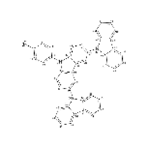 Brc1ccc(-n2c3ccc(-n4c5ccccc5c5ccccc54)cc3c3cc(-n4c5ccccc5c5ccccc54)ccc32)cn1